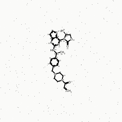 C=CC(=O)N1CCN(Cc2ccc([C@H](C)Nc3nc(N4C(=O)OC[C@@H]4C(C)C)c4sccc4n3)cc2)CC1